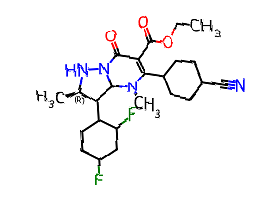 CCOC(=O)C1=C(C2CCC(C#N)CC2)N(C)C2C(C3CCC(F)CC3F)[C@@H](C)NN2C1=O